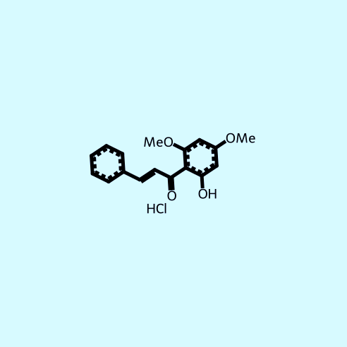 COc1cc(O)c(C(=O)C=Cc2ccccc2)c(OC)c1.Cl